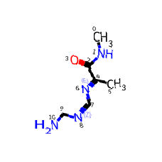 CNC(=O)/C(C)=N/C=N\CN